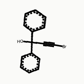 OC(C#CBr)(c1ccccc1)c1ccccc1